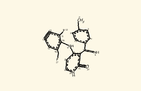 Cc1ccc(C(=N)c2c(Nc3c(F)c#ccc3F)cc[nH]c2=O)cc1